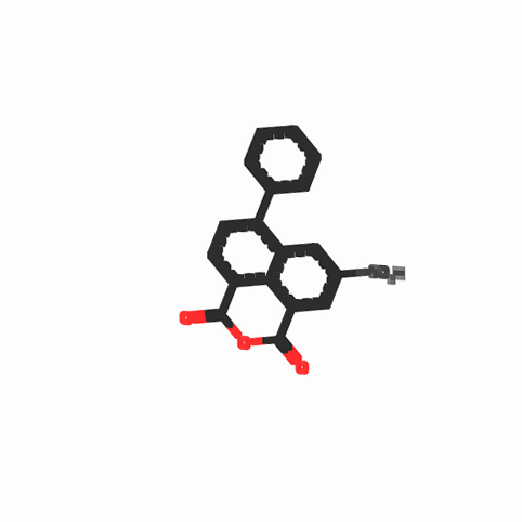 O=C1OC(=O)c2cc(S(=O)(=O)O)cc3c(-c4ccccc4)ccc1c23